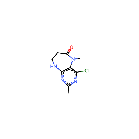 Cc1nc(Cl)c2c(n1)NCCC(=O)N2C